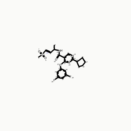 CC(/C=C/S(C)(=O)=O)NC(=O)c1cnc(C2CCCC2)nc1Oc1cc(F)cc(F)c1